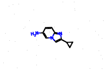 Nc1ccc2nc(C3CC3)cn2c1